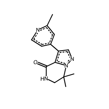 Cc1cc(-c2cnn3c2C(=O)NCC3(C)C)ccn1